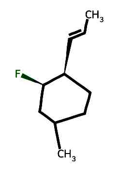 C/C=C/[C@H]1CCC(C)C[C@H]1F